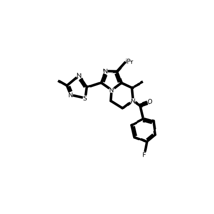 Cc1nsc(-c2nc(C(C)C)c3n2CCN(C(=O)c2ccc(F)cc2)C3C)n1